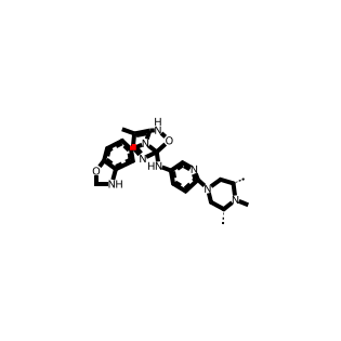 CC1=C2NOC(Nc3ccc(N4C[C@@H](C)N(C)[C@@H](C)C4)nc3)(N=C1)N2c1ccc2c(c1)NCO2